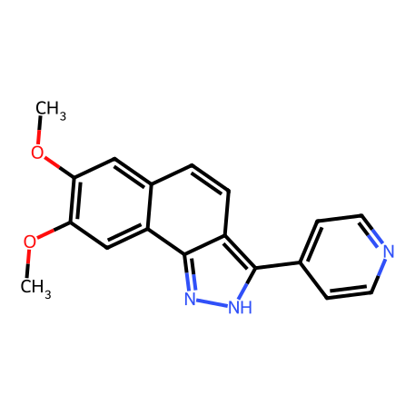 COc1cc2ccc3c(-c4ccncc4)[nH]nc3c2cc1OC